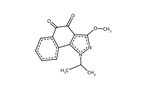 COc1nn(C(C)C)c2c1C(=O)C(=O)c1ccccc1-2